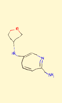 Nc1ccc(NC2COC2)cn1